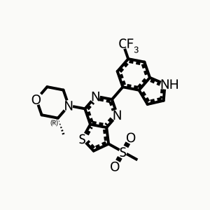 C[C@@H]1COCCN1c1nc(-c2cc(C(F)(F)F)cc3[nH]ccc23)nc2c(S(C)(=O)=O)csc12